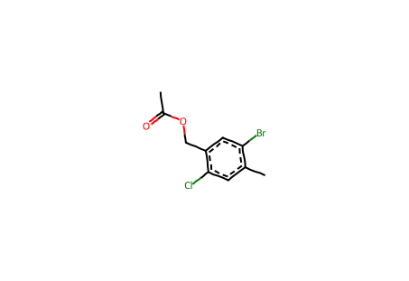 CC(=O)OCc1cc(Br)c(C)cc1Cl